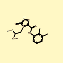 COC(Cn1c(C(=O)Nc2cccc(C)c2C)n[nH]c1=S)OC